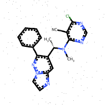 C[C@@H](c1cc2nccn2nc1-c1ccccc1)N(C)c1ncnc(Cl)c1C#N